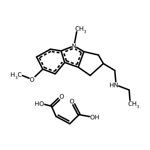 CCNCC1Cc2c(n(C)c3ccc(OC)cc23)C1.O=C(O)/C=C\C(=O)O